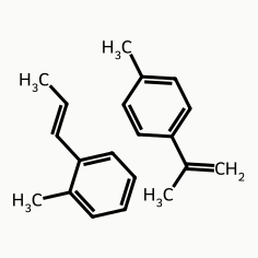 C/C=C/c1ccccc1C.C=C(C)c1ccc(C)cc1